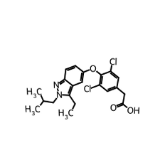 CCc1c2cc(Oc3c(Cl)cc(CC(=O)O)cc3Cl)ccc2nn1CC(C)C